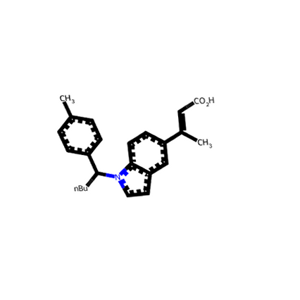 CCCCC(c1ccc(C)cc1)n1ccc2cc(C(C)=CC(=O)O)ccc21